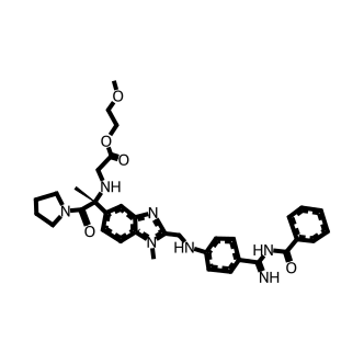 COCCOC(=O)CN[C@@](C)(C(=O)N1CCCC1)c1ccc2c(c1)nc(CNc1ccc(C(=N)NC(=O)c3ccccc3)cc1)n2C